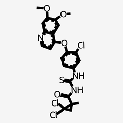 COc1cc2nccc(Oc3ccc(NC(=S)NC(=O)C4(C)CC4(Cl)Cl)cc3Cl)c2cc1OC